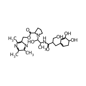 Cc1nc(C)c(COC(=O)C2CCCN2C(O)[C@H](C)NC(=O)C(CO)CC2=CCC(O)C(O)=C2)nc1C